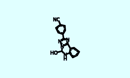 N#Cc1ccc(-c2nc3n(n2)C(O)Nc2ccccc2-3)cc1